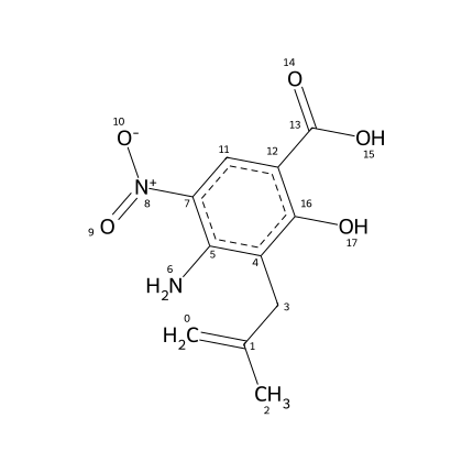 C=C(C)Cc1c(N)c([N+](=O)[O-])cc(C(=O)O)c1O